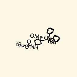 CO[C@]1(CO[Si](c2ccccc2)(c2ccccc2)C(C)(C)C)CC[C@H](NC(=O)OC(C)(C)C)CC1